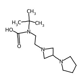 CC(C)(C)N(CCN1CC(N2CCCC2)C1)C(=O)O